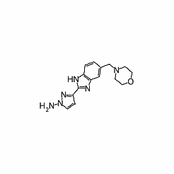 Nn1ccc(-c2nc3cc(CN4CCOCC4)ccc3[nH]2)n1